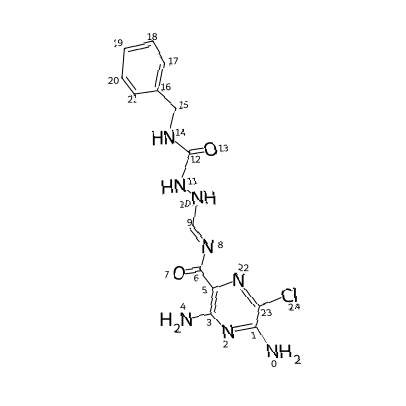 Nc1nc(N)c(C(=O)N=CNNC(=O)NCc2ccccc2)nc1Cl